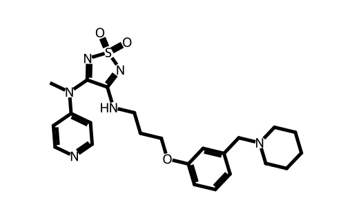 CN(C1=NS(=O)(=O)N=C1NCCCOc1cccc(CN2CCCCC2)c1)c1ccncc1